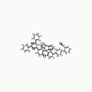 N#Cc1ccccc1-c1ccc(-c2ccc3c(c2)C2(c4cc(-c5cc(-c6ccccc6)nc(-c6ccccc6)n5)ccc4O3)c3ccccc3-c3ccccc32)cc1